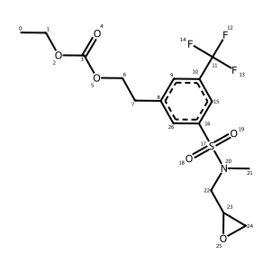 CCOC(=O)OCCc1cc(C(F)(F)F)cc(S(=O)(=O)N(C)CC2CO2)c1